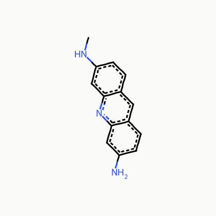 CNc1ccc2cc3ccc(N)cc3nc2c1